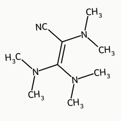 CN(C)C(C#N)=C(N(C)C)N(C)C